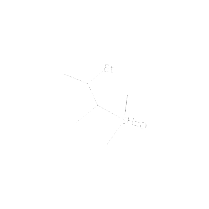 CCC(C)C(C)[SH](C)(C)=O